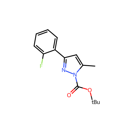 Cc1cc(-c2ccccc2F)nn1C(=O)OC(C)(C)C